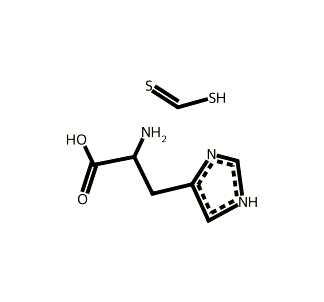 NC(Cc1c[nH]cn1)C(=O)O.S=CS